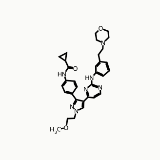 COCCn1cc(-c2ccnc(Nc3cccc(CCN4CCOCC4)c3)n2)c(-c2ccc(NC(=O)C3CC3)cc2)n1